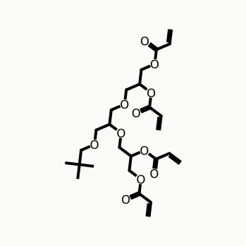 C=CC(=O)OCC(COCC(COCC(C)(C)C)OCC(COC(=O)C=C)OC(=O)C=C)OC(=O)C=C